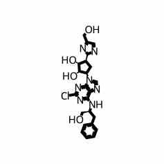 OCC1=NC([C@H]2C[C@@H](n3cnc4c(N[C@H](CO)Cc5ccccc5)nc(Cl)nc43)[C@H](O)[C@@H]2O)N=C1